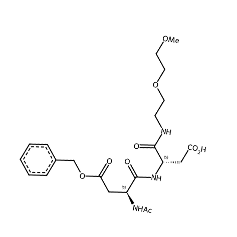 COCCOCCNC(=O)[C@H](CC(=O)O)NC(=O)[C@H](CC(=O)OCc1ccccc1)NC(C)=O